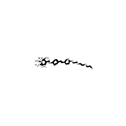 CC1(C)C=C(CNc2ccc(/C=C/c3ccc(OCCOCCOCCF)nc3)cc2)C(C)(C)N1O